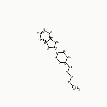 CCCCC[C@H]1CC[C@H](C2Cc3ccccc3C2)CC1